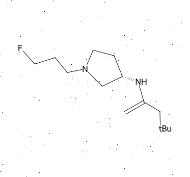 C=C(CC(C)(C)C)N[C@H]1CCN(CCCF)C1